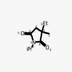 CCC1(C)CC(=O)N(C(C)C)C1=O